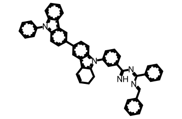 N=C(/N=C(\N=C\c1ccccc1)c1ccccc1)c1cccc(-n2c3c(c4cc(-c5ccc6c(c5)c5ccccc5n6-c5ccccc5)ccc42)C=CCC3)c1